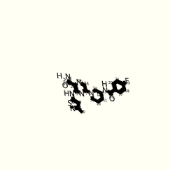 Cc1cc(Nc2nc(N3CCC[C@@H](NC(=O)c4ccc(F)cc4)C3)cnc2C(N)=O)sn1